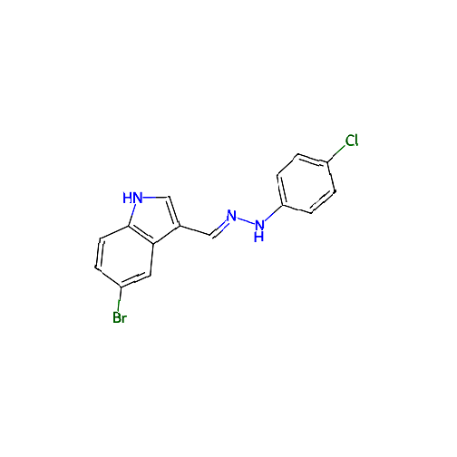 Clc1ccc(NN=Cc2c[nH]c3ccc(Br)cc23)cc1